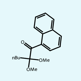 CCCCC(OC)(OC)C(=O)c1cccc2ccccc12